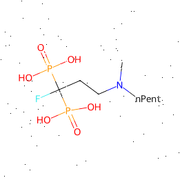 CCCCCN(C)CCC(F)(P(=O)(O)O)P(=O)(O)O